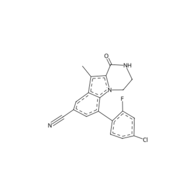 Cc1c2n(c3c(-c4ccc(Cl)cc4F)cc(C#N)cc13)CCNC2=O